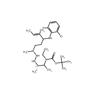 C/C=C(\C)C(CCN(C)NN[C@@H](C)C(C)N(CC)C(=O)OC(C)(C)C)Nc1c(F)cccc1Cl